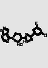 Cl.Fc1cc(Cl)cc(-c2c[nH]c(C3CCN(c4ncnc5[nH]ncc45)CC3)n2)c1